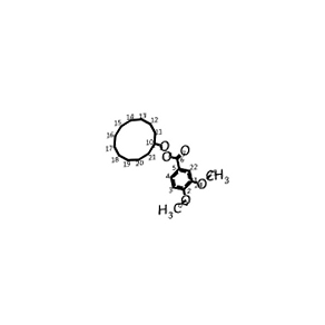 COc1ccc(C(=O)OO[C]2CCCCCCCCCCC2)cc1OC